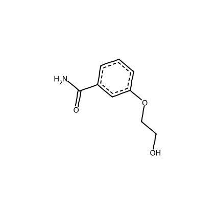 NC(=O)c1cccc(OCCO)c1